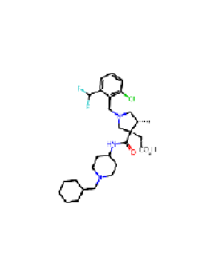 C[C@H]1CN(Cc2c(Cl)cccc2C(F)F)C[C@@]1(CC(=O)O)C(=O)NC1CCN(CC2CCCCC2)CC1